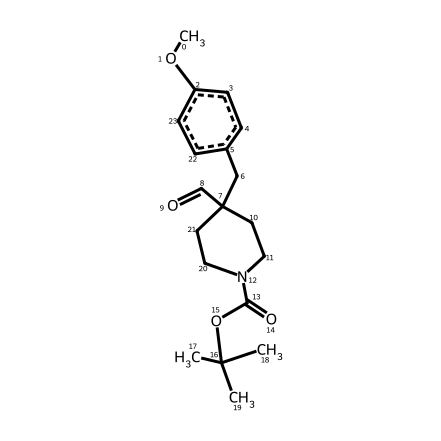 COc1ccc(CC2(C=O)CCN(C(=O)OC(C)(C)C)CC2)cc1